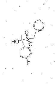 CC(O)(c1ccc(F)cc1)S(=O)(=O)Cc1ccccc1